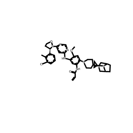 C=CC(=O)Nc1cc(Nc2cc(N3OCC[C@@H]3c3cccc(Cl)c3C)ncn2)c(OC)cc1N1CCC(N2CC3CCC(C2)N3C2CC2)CC1